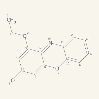 CCOc1cc(=O)cc2oc3ccccc3nc1-2